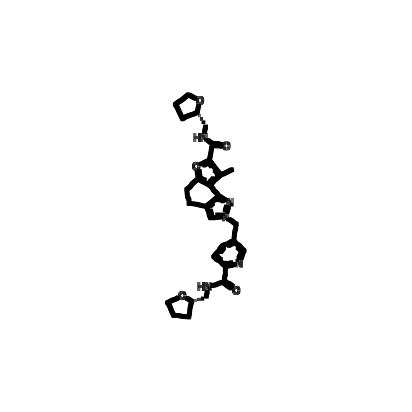 Cc1c(C(=O)NC[C@@H]2CCCO2)oc2c1-c1nn(Cc3ccc(C(=O)NC[C@@H]4CCCO4)nc3)cc1CC2